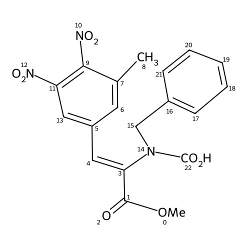 COC(=O)/C(=C/c1cc(C)c([N+](=O)[O-])c([N+](=O)[O-])c1)N(Cc1ccccc1)C(=O)O